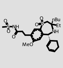 CCCC[C@]1(CC)CS(=O)(=O)c2cc(CCC(=O)NS(C)(=O)=O)c(OC)cc2[C@@H](C2=CC=CCC2)N1